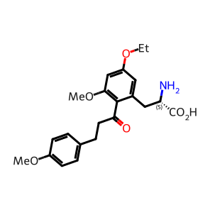 CCOc1cc(C[C@H](N)C(=O)O)c(C(=O)CCc2ccc(OC)cc2)c(OC)c1